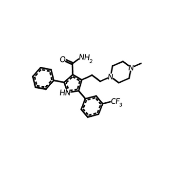 CN1CCN(CCc2c(-c3cccc(C(F)(F)F)c3)[nH]c(-c3ccccc3)c2C(N)=O)CC1